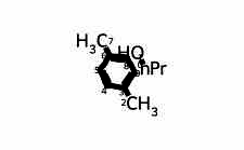 CCCO.Cc1ccc(C)cc1